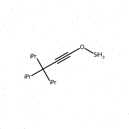 CC(C)C(C#CO[SiH3])(C(C)C)C(C)C